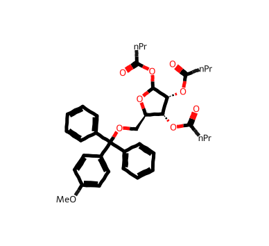 CCCC(=O)OC1O[C@H](COC(c2ccccc2)(c2ccccc2)c2ccc(OC)cc2)[C@@H](OC(=O)CCC)[C@H]1OC(=O)CCC